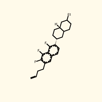 C=CCCc1cc2ccc([C@@H]3CC[C@@H]4CC(CC)CCC4C3)c(F)c2c(F)c1F